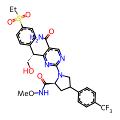 CCS(=O)(=O)c1ccc([C@@H](CO)c2nc(N3CC(c4ccc(C(F)(F)F)cc4)C[C@H]3C(=O)NOC)ncc2C(N)=O)cc1